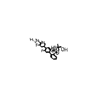 CC(C)(CO)NS(=O)(=O)c1ccccc1-c1ccc(-c2cnc(N)c(F)c2)c(F)c1